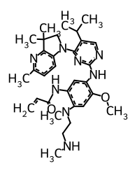 C=CC(=O)Nc1cc(Nc2ncc(C(C)C)c(N3CC(C)(C)c4nc(C)ccc43)n2)c(OC)cc1N(C)CCNC